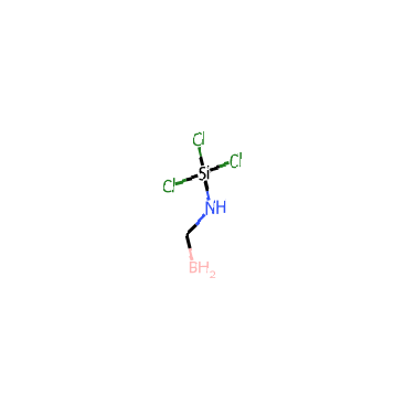 BCN[Si](Cl)(Cl)Cl